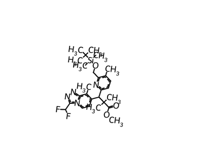 COC(=O)C(C)(C)C(c1ccc(C)c(CO[Si](C)(C)C(C)(C)C)n1)c1ccn2c(C(F)F)nnc2c1C